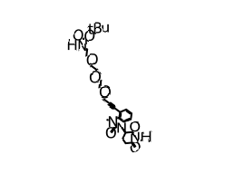 Cn1c(=O)n(C2CCC(=O)NC2=O)c2cccc(C#CCOCCOCCOCCNC(=O)OC(C)(C)C)c21